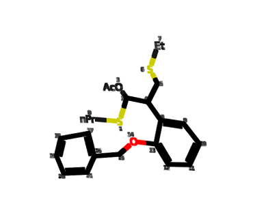 CCCSC(OC(C)=O)C(CSCC)c1ccccc1OCc1ccccc1